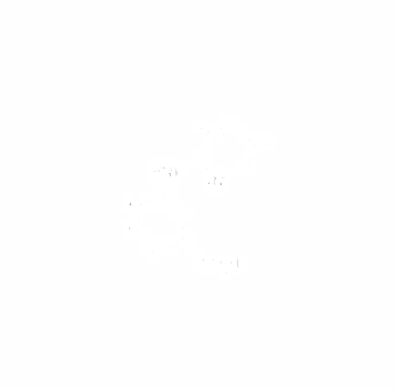 O=C(O)c1cccc(NC2=NCCCO2)c1